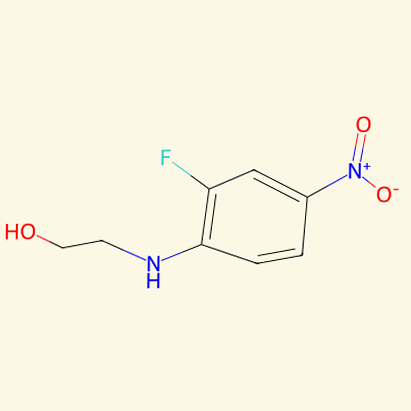 O=[N+]([O-])c1ccc(NCCO)c(F)c1